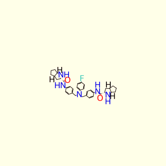 O=C(Nc1ccc(CN(Cc2ccc(NC(=O)[C@@H]3C[C@@H]4CCC[C@@H]4N3)cc2)c2ccc(F)cc2)cc1)[C@@H]1C[C@@H]2CCC[C@@H]2N1